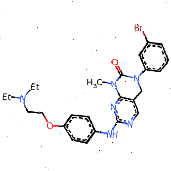 CCN(CC)CCOc1ccc(Nc2ncc3c(n2)N(C)C(=O)N(c2cccc(Br)c2)C3)cc1